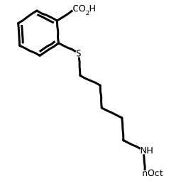 CCCCCCCCNCCCCCSc1ccccc1C(=O)O